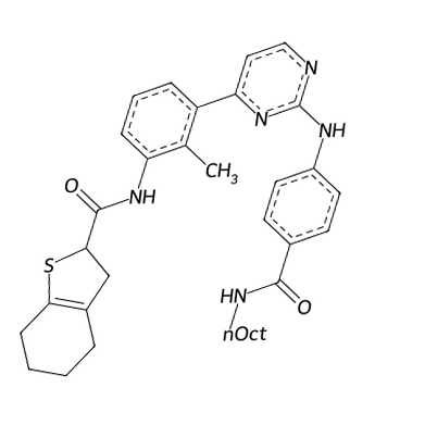 CCCCCCCCNC(=O)c1ccc(Nc2nccc(-c3cccc(NC(=O)C4CC5=C(CCCC5)S4)c3C)n2)cc1